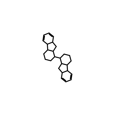 C1=CC2CC3C(CCCC3C3CCCC4C5C=CC=CC5CC43)C2C=C1